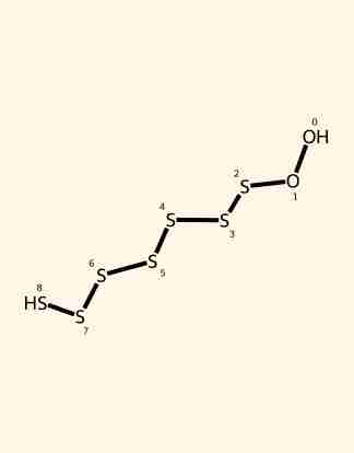 OOSSSSSSS